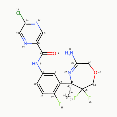 C[C@]1(c2cc(NC(=O)c3cnc(Cl)cn3)ccc2F)N=C(N)COCC1(F)F